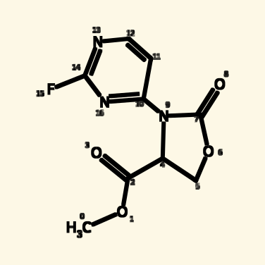 COC(=O)C1COC(=O)N1c1ccnc(F)n1